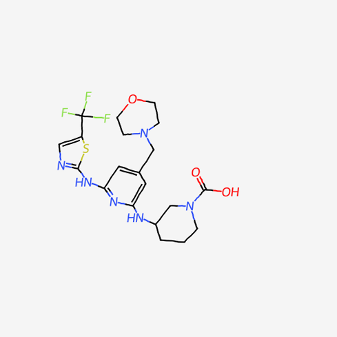 O=C(O)N1CCCC(Nc2cc(CN3CCOCC3)cc(Nc3ncc(C(F)(F)F)s3)n2)C1